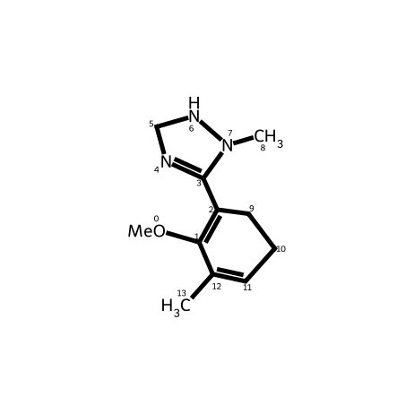 COC1=C(C2=NCNN2C)CCC=C1C